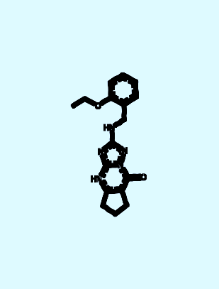 CCOc1ccccc1CNc1nc2[nH]c3c(c(=O)n2n1)CCC3